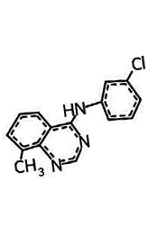 Cc1cccc2c(Nc3cccc(Cl)c3)ncnc12